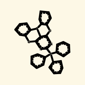 c1ccc([Si](c2ccccc2)(c2ccccc2)c2nc3c4c(n2)Oc2ccccc2B4c2ccccc2O3)cc1